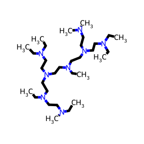 CCN(C)CCN(CC)CCN(CCN(CC)CC)CCN(CC)CCN(CCN(C)C)CCN(CC)CC